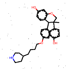 CC1(c2ccc(O)cc2)COc2cc(O)ccc2C1c1ccc(OCCCCC2CCNCC2)cc1